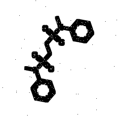 CN(c1ccccc1)S(=O)(=O)CCS(=O)(=O)N(C)c1ccccc1